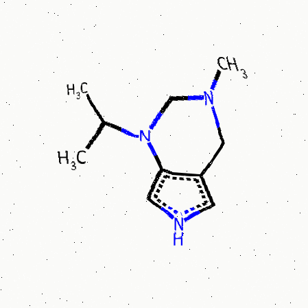 CC(C)N1CN(C)Cc2c[nH]cc21